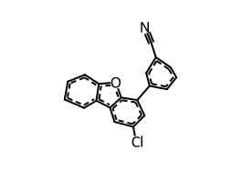 N#Cc1cccc(-c2cc(Cl)cc3c2oc2ccccc23)c1